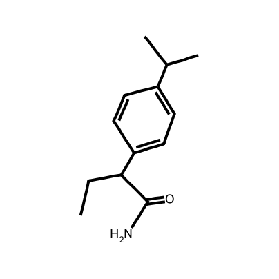 CCC(C(N)=O)c1ccc(C(C)C)cc1